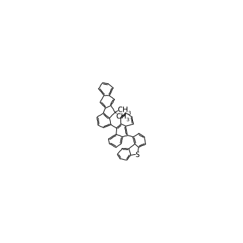 CC1(C)c2cc3ccccc3cc2-c2cccc(-c3c4ccccc4c(-c4cccc5sc6ccccc6c45)c4ccccc34)c21